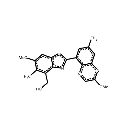 COc1cnc2c(-c3nc4c(CO)c(C)c(OC)cc4s3)cc(C)cc2n1